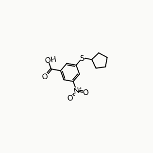 O=C(O)c1cc(SC2CCCC2)cc([N+](=O)[O-])c1